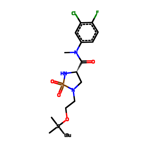 CN(C(=O)[C@@H]1CN(CCO[Si](C)(C)C(C)(C)C)S(=O)(=O)N1)c1ccc(F)c(Cl)c1